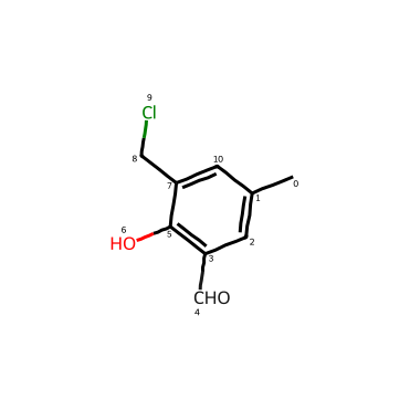 Cc1cc(C=O)c(O)c(CCl)c1